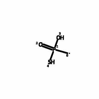 [CH2]P(=O)(O)S